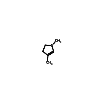 CC1=CN(C)[CH]C1